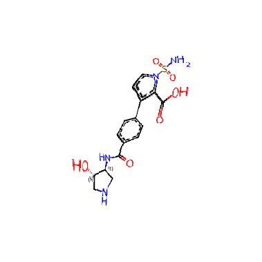 NS(=O)(=O)n1ccc(-c2ccc(C(=O)N[C@H]3CNC[C@@H]3O)cc2)c1C(=O)O